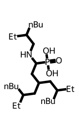 CCCCC(CC)CNC(CC(CC(CC)CCCC)CC(CC)CCCC)P(=O)(O)O